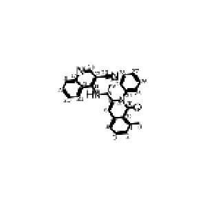 Cc1cccc2cc([C@H](C)Nc3c(C#N)cnc4ccccc34)n(-c3ccccc3)c(=O)c12